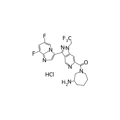 Cl.NC1CCCCN(C(=O)c2cc3c(cn2)c(-c2cnc4c(F)cc(F)cn24)nn3CC(F)(F)F)C1